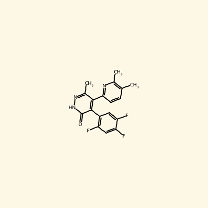 Cc1ccc(-c2c(C)n[nH]c(=O)c2-c2cc(F)c(F)cc2F)nc1C